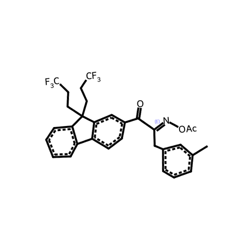 CC(=O)O/N=C(\Cc1cccc(C)c1)C(=O)c1ccc2c(c1)C(CCC(F)(F)F)(CCC(F)(F)F)c1ccccc1-2